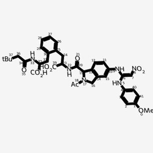 COc1ccc(N/C(=C/[N+](=O)[O-])Nc2ccc3c(c2)CN(C(C)=O)C3C(=O)NC(Cc2ccccc2CC(NC(=O)CC(C)(C)C)C(=O)O)C(=O)O)cc1